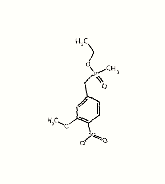 CCOP(C)(=O)Cc1ccc([N+](=O)[O-])c(OC)c1